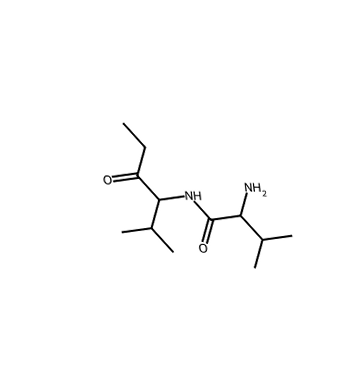 CCC(=O)C(NC(=O)C(N)C(C)C)C(C)C